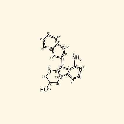 Nc1ncnc2c1c(-c1cnc3ccccc3c1)c1n2CC(O)CO1